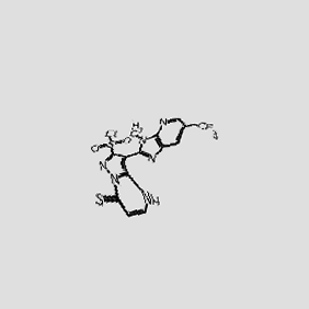 CCS(=O)(=O)c1nn2c(=S)cc[nH]c2c1-c1nc2cc(C(F)(F)F)cnc2n1C